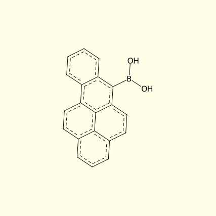 OB(O)c1c2ccccc2c2ccc3cccc4ccc1c2c43